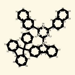 c1ccc(C2(c3ccc4c5ccccc5n(-c5nc(-c6ccc7ccccc7c6)nc(-c6ccc7ccccc7c6)n5)c4c3)c3ccccc3-c3ccccc32)cc1